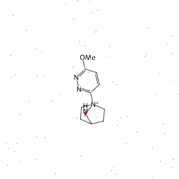 COc1ccc([N+]23CCC(CC2)C32CCNC2)nn1